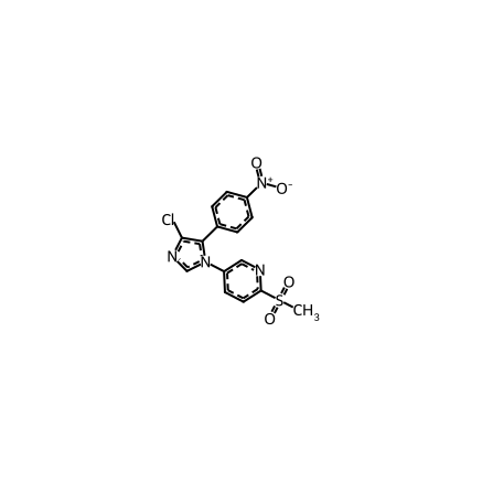 CS(=O)(=O)c1ccc(-n2cnc(Cl)c2-c2ccc([N+](=O)[O-])cc2)cn1